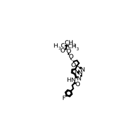 CC(C)(C)C(=O)OCOC[C@@H]1CC[C@](C#N)(c2ccc3c(NC(=O)CCc4ccc(F)cc4)ncnn23)O1